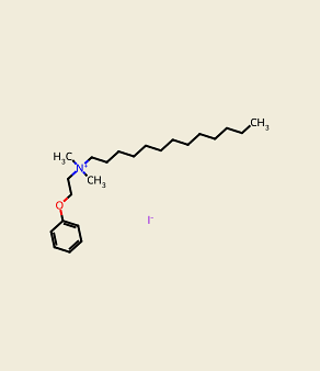 CCCCCCCCCCCCC[N+](C)(C)CCOc1ccccc1.[I-]